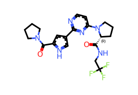 O=C(NCC(F)(F)F)[C@H]1CCCN1c1ccnc(-c2c[nH]c(C(=O)N3CCCC3)c2)n1